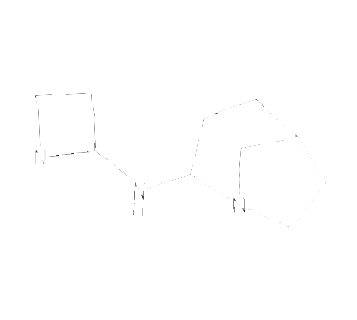 C1CC(NC2CCC3CCN2C3)[N]1